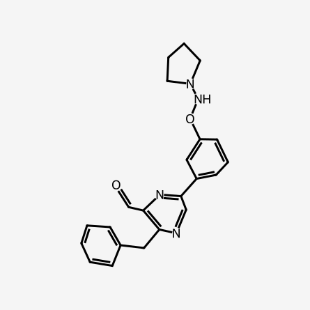 O=Cc1nc(-c2cccc(ONN3CCCC3)c2)cnc1Cc1ccccc1